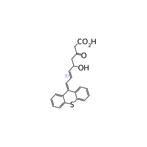 O=C(O)CC(=O)CC(O)/C=C/C=C1c2ccccc2Sc2ccccc21